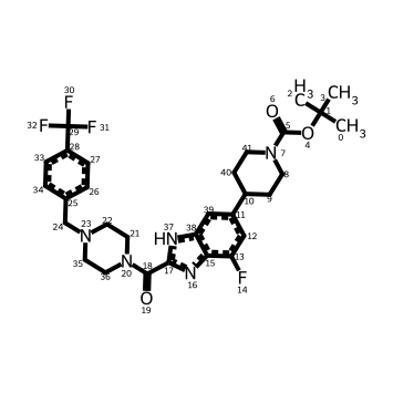 CC(C)(C)OC(=O)N1CCC(c2cc(F)c3nc(C(=O)N4CCN(Cc5ccc(C(F)(F)F)cc5)CC4)[nH]c3c2)CC1